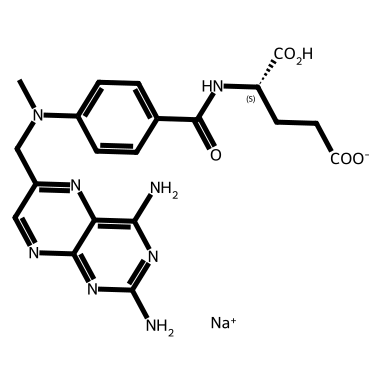 CN(Cc1cnc2nc(N)nc(N)c2n1)c1ccc(C(=O)N[C@@H](CCC(=O)[O-])C(=O)O)cc1.[Na+]